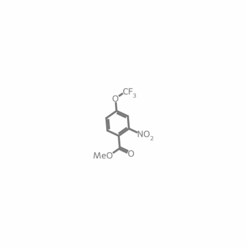 COC(=O)c1ccc(OC(F)(F)F)cc1[N+](=O)[O-]